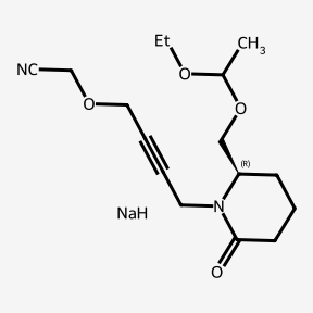 CCOC(C)OC[C@H]1CCCC(=O)N1CC#CCOCC#N.[NaH]